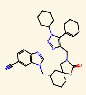 N#Cc1ccc2ncn(C[C@H]3CCC[C@]4(C3)CN(Cc3nnn(C5CCCCC5)c3C3=CCCCC3)C(=O)O4)c2c1